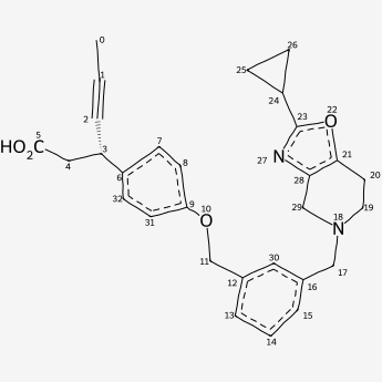 CC#C[C@@H](CC(=O)O)c1ccc(OCc2cccc(CN3CCc4oc(C5CC5)nc4C3)c2)cc1